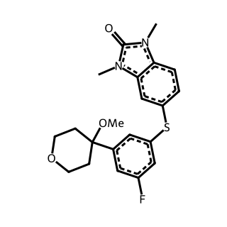 COC1(c2cc(F)cc(Sc3ccc4c(c3)n(C)c(=O)n4C)c2)CCOCC1